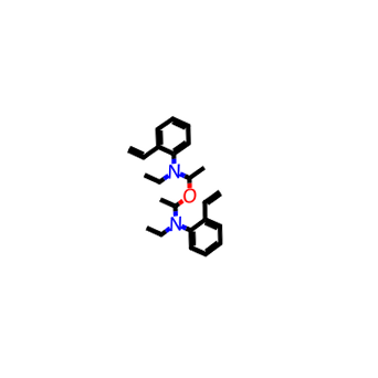 C=Cc1ccccc1N(CC)C(C)OC(C)N(CC)c1ccccc1C=C